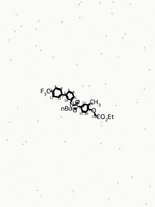 CCCCN(c1cccc(-c2ccc(C(F)(F)F)cc2)c1)S(=O)(=O)c1ccc(OCC(=O)OCC)c(C)c1